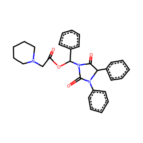 O=C(CN1CCCCC1)OC(c1ccccc1)N1C(=O)C(c2ccccc2)N(c2ccccc2)C1=O